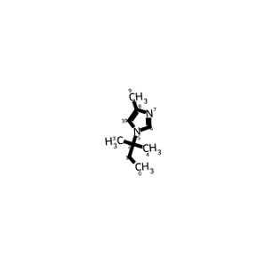 CCC(C)(C)n1cnc(C)c1